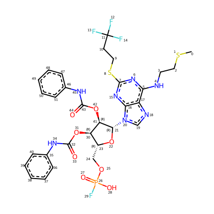 CSCCNc1nc(SCCC(F)(F)F)nc2c1ncn2[C@@H]1O[C@H](COP(=O)(O)F)[C@@H](OC(=O)Nc2ccccc2)[C@H]1OC(=O)Nc1ccccc1